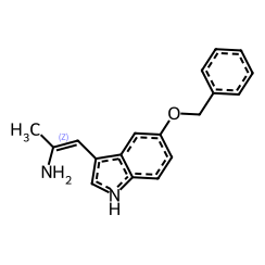 C/C(N)=C/c1c[nH]c2ccc(OCc3ccccc3)cc12